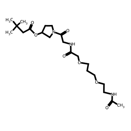 CC(=O)NCCOCCCOCC(=O)NCC(=O)N1CCC(OC(=O)CC(C)(C)C)C1